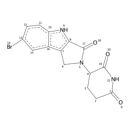 O=C1CCC(N2Cc3c([nH]c4ccc(Br)cc34)C2=O)C(=O)N1